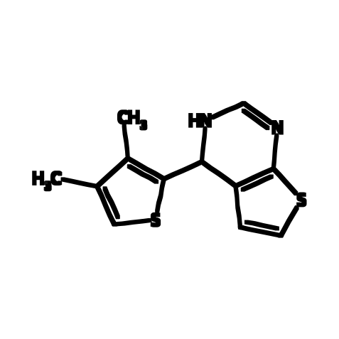 Cc1csc(C2NC=Nc3sccc32)c1C